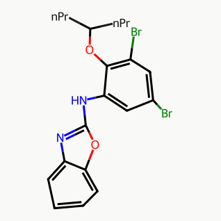 CCCC(CCC)Oc1c(Br)cc(Br)cc1Nc1nc2ccccc2o1